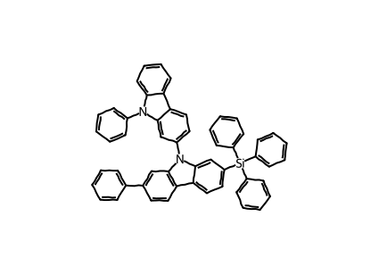 c1ccc(-c2ccc3c4ccc([Si](c5ccccc5)(c5ccccc5)c5ccccc5)cc4n(-c4ccc5c6ccccc6n(-c6ccccc6)c5c4)c3c2)cc1